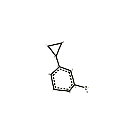 Brc1[c]ccc(C2CC2)c1